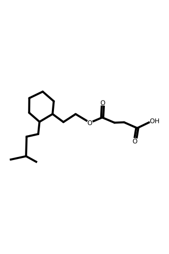 CC(C)CCC1CCCCC1CCOC(=O)CCC(=O)O